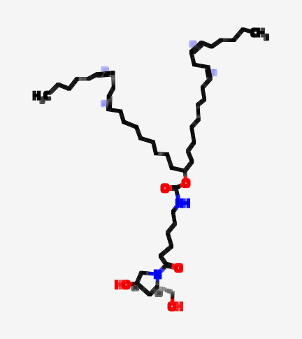 CCCCC/C=C\C/C=C\CCCCCCCCC(CCCCCCCC/C=C\C/C=C\CCCCC)OC(=O)NCCCCCC(=O)N1C[C@H](O)C[C@H]1CO